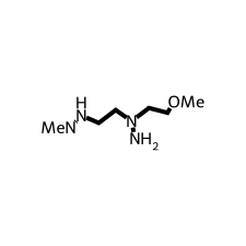 CNNCCN(N)CCOC